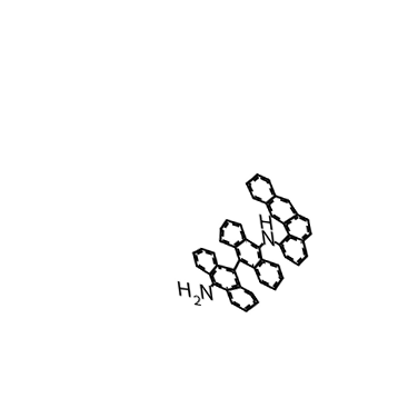 Nc1c2ccccc2c(-c2c3ccccc3c(Nc3cccc4ccc5cc6ccccc6cc5c34)c3ccccc23)c2ccccc12